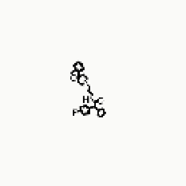 O=C(NCCCN1CCC2(CC1)OCc1ccccc12)C(c1ccc(F)cc1)C1CCCC1